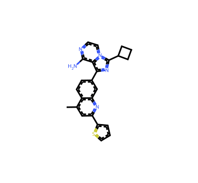 Cc1cc(-c2cccs2)nc2cc(-c3nc(C4CCC4)n4ccnc(N)c34)ccc12